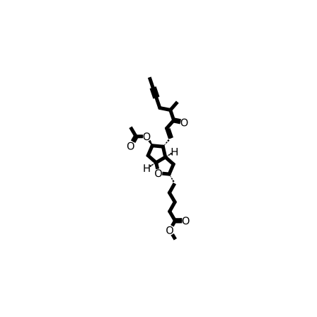 CC#CCC(C)C(=O)/C=C/[C@@H]1[C@H]2C[C@H](CCCCC(=O)OC)O[C@H]2C[C@H]1OC(C)=O